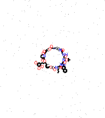 CCCC[C@H]1C(=O)N[C@@H](Cc2ccc3ccccc3c2)C(=O)N(C)[C@@H](COC(C)(C)C)C(=O)NCC(=O)N(C)CC/C=C/C(=O)OCC(C)(C)C(=O)C(=O)N2CCCC[C@H]2C(=O)O[C@H](CCc2cc(OC)cc(OC)c2OC)c2cccc(c2)OCC(=O)N1C